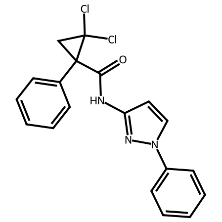 O=C(Nc1ccn(-c2ccccc2)n1)C1(c2ccccc2)CC1(Cl)Cl